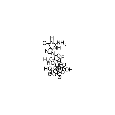 C[C@]1(O)[C@H](n2cnc3c2NC(N)NC3=O)O[C@]2(F)C(OP(=O)(O)OP(=O)(O)OP(=O)(O)O)[C@]12O